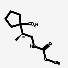 C[C@@H](CNC(=O)OC(C)(C)C)C1(C(=O)O)CCCC1